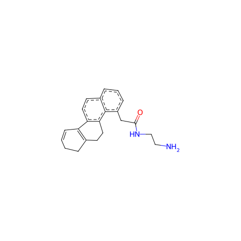 NCCNC(=O)Cc1cccc2ccc3c(c12)CCC1=C3C=CCC1